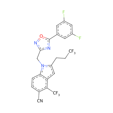 N#Cc1ccc2c(cc(CCC(F)(F)F)n2Cc2noc(-c3cc(F)cc(F)c3)n2)c1C(F)(F)F